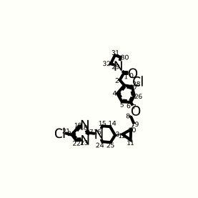 O=C(Cc1ccc(OCC[C@@H]2C[C@@H]2C2CCN(c3ncc(Cl)cn3)CC2)cc1Cl)N1CCC1